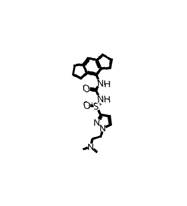 CN(C)CCn1ccc([S+]([O-])NC(=O)Nc2c3c(cc4c2CCC4)CCC3)n1